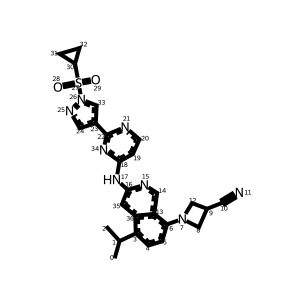 CC(C)c1ccc(N2CC(C#N)C2)c2cnc(Nc3ccnc(-c4cnn(S(=O)(=O)C5CC5)c4)n3)cc12